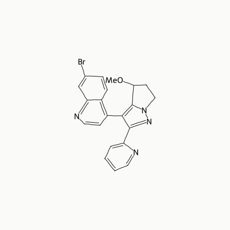 COC1CCn2nc(-c3ccccn3)c(-c3ccnc4cc(Br)ccc34)c21